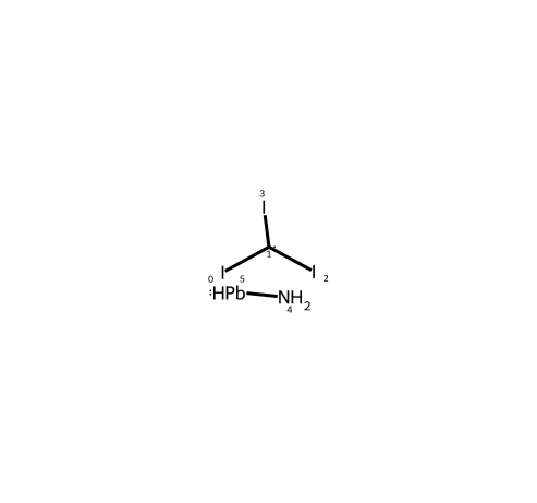 I[C](I)I.[NH2][PbH]